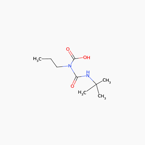 CCCN(C(=O)O)C(=O)NC(C)(C)C